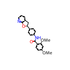 COc1ccc(C(=O)Nc2ccc(C3Cc4cccnc4O3)cc2)c(OC)c1